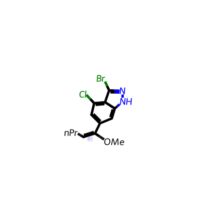 CCC/C=C(/OC)c1cc(Cl)c2c(Br)n[nH]c2c1